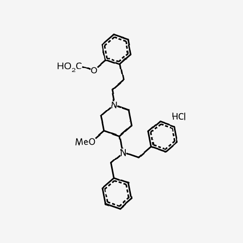 COC1CN(CCc2ccccc2OC(=O)O)CCC1N(Cc1ccccc1)Cc1ccccc1.Cl